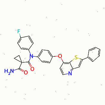 NC(=O)C1(C(=O)N(c2ccc(F)cc2)c2ccc(Oc3ccnc4cc(-c5ccccc5)sc34)cc2)CC1